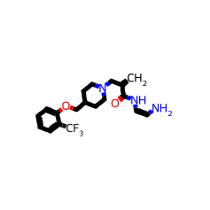 C=C(CN1CCC(COc2ccccc2C(F)(F)F)CC1)C(=O)N/C=C\N